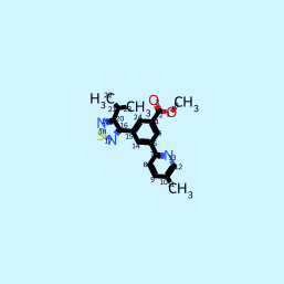 COC(=O)c1cc(-c2ccc(C)cn2)cc(-c2nsnc2C(C)C)c1